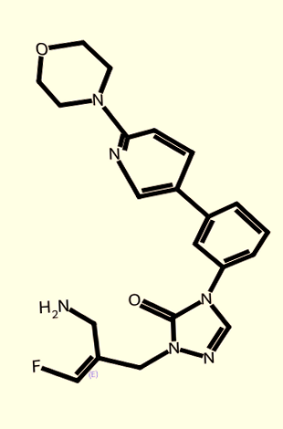 NC/C(=C\F)Cn1ncn(-c2cccc(-c3ccc(N4CCOCC4)nc3)c2)c1=O